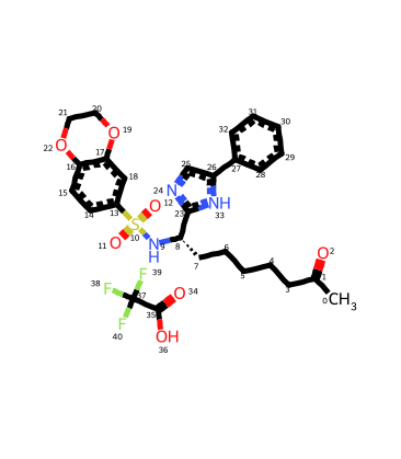 CC(=O)CCCCC[C@H](NS(=O)(=O)c1ccc2c(c1)OCCO2)c1ncc(-c2ccccc2)[nH]1.O=C(O)C(F)(F)F